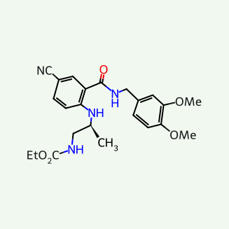 CCOC(=O)NC[C@H](C)Nc1ccc(C#N)cc1C(=O)NCc1ccc(OC)c(OC)c1